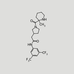 CC1(C(=O)N2CCC(CC(=O)Nc3cc(C(F)(F)F)cc(C(F)(F)F)c3)C2)CCCCN1